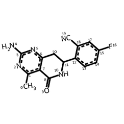 Cc1nc(N)nc2c1C(=O)NC(c1ccc(F)cc1C#N)C2